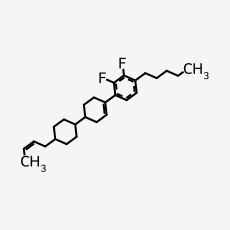 C/C=C\CC1CCC(C2CC=C(c3ccc(CCCCC)c(F)c3F)CC2)CC1